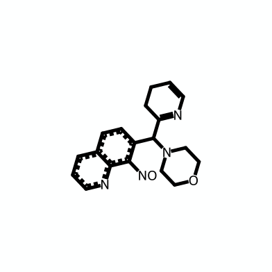 O=Nc1c(C(C2=NC=CCC2)N2CCOCC2)ccc2cccnc12